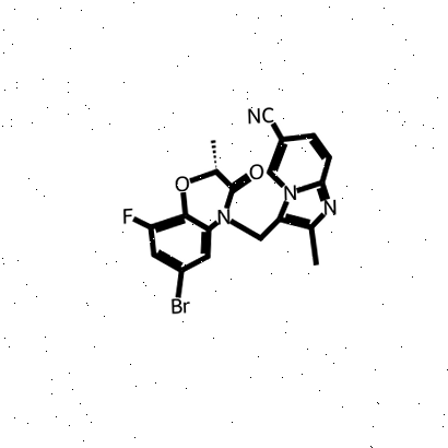 Cc1nc2ccc(C#N)cn2c1CN1C(=O)[C@@H](C)Oc2c(F)cc(Br)cc21